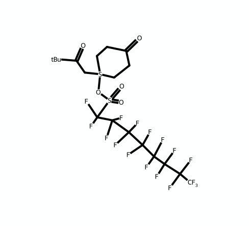 CC(C)(C)C(=O)CS1(OS(=O)(=O)C(F)(F)C(F)(F)C(F)(F)C(F)(F)C(F)(F)C(F)(F)C(F)(F)C(F)(F)F)CCC(=O)CC1